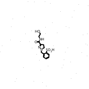 O=C(NCCO)C1=NN(Cc2ccccc2S(=O)(=O)O)CC1